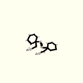 CC(=O)OCC1(N=NC2(COC(C)=O)CCCCC2)CCCCC1